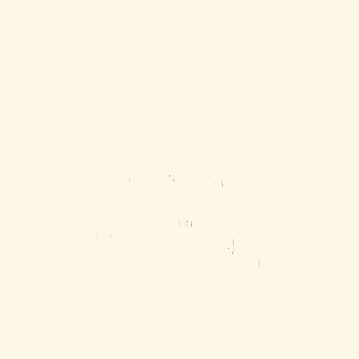 CNC(=O)C(NOC)c1cccc(C)c1CO/N=C(\C)c1ccc(Cl)cc1